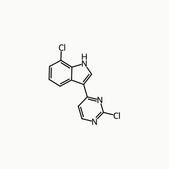 Clc1nccc(-c2c[nH]c3c(Cl)cccc23)n1